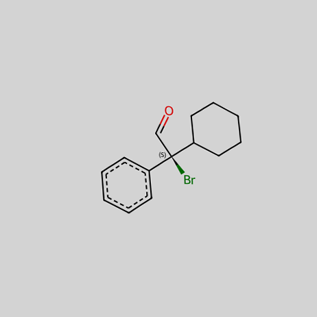 O=C[C@@](Br)(c1ccccc1)C1CCCCC1